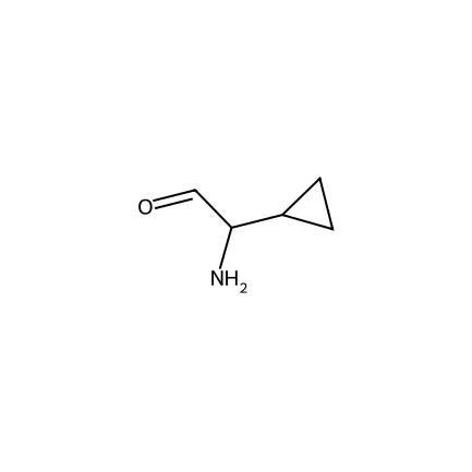 NC(C=O)C1CC1